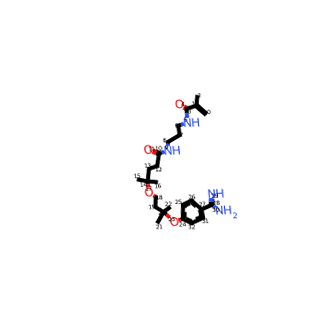 C=C(C)C(=O)NCCCNC(=O)CCC(C)(C)OCCC(C)(C)Oc1ccc(C(=N)N)cc1